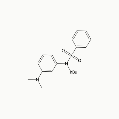 CCCCN(c1cccc(N(C)C)c1)S(=O)(=O)c1ccccc1